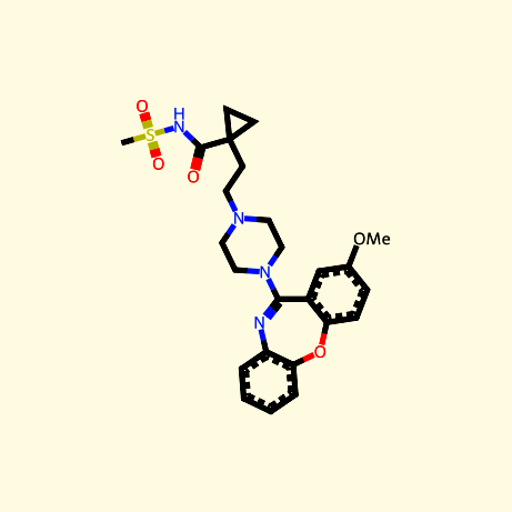 COc1ccc2c(c1)C(N1CCN(CCC3(C(=O)NS(C)(=O)=O)CC3)CC1)=Nc1ccccc1O2